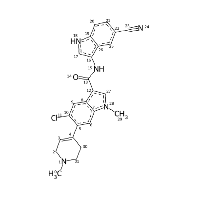 CN1CC=C(c2cc3c(cc2Cl)c(C(=O)Nc2c[nH]c4ccc(C#N)cc24)cn3C)CC1